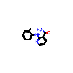 Cc1ccccc1Nc1ncccc1C(N)=O